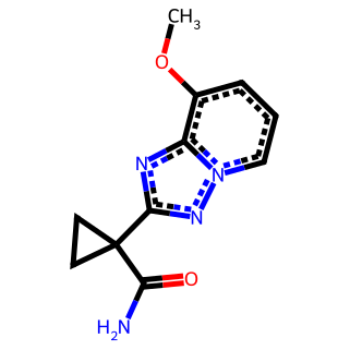 COc1cccn2nc(C3(C(N)=O)CC3)nc12